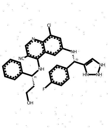 N#Cc1cnc2c(Cl)cc(N[C@H](C3=CNNN3)c3ccc(F)cc3)cc2c1N[C@H](CCO)c1ccccc1